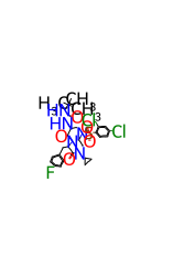 CC(C)(C)NC(=O)NC1CN(S(=O)(=O)c2ccc(Cl)cc2Cl)C2CN(C3CC3)C(=O)C(Cc3ccc(F)cc3)N2C1=O